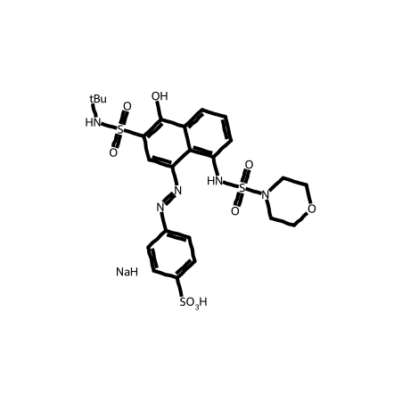 CC(C)(C)NS(=O)(=O)c1cc(/N=N/c2ccc(S(=O)(=O)O)cc2)c2c(NS(=O)(=O)N3CCOCC3)cccc2c1O.[NaH]